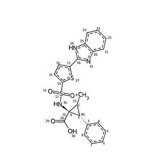 CC1[C@H](c2ccccc2)[C@]1(NS(=O)(=O)c1ccc(-c2nc3ccccc3[nH]2)s1)C(=O)O